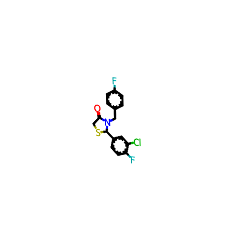 O=C1CSC(c2ccc(F)c(Cl)c2)N1Cc1ccc(F)cc1